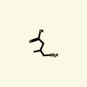 CC(CC(=O)O)CC(=O)C#N